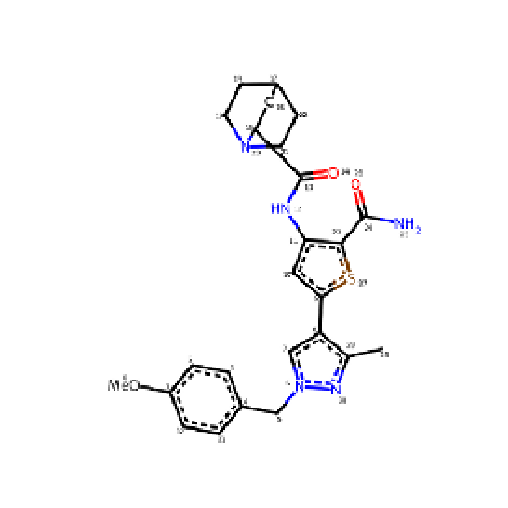 COc1ccc(Cn2cc(-c3cc(NC(=O)C4CC5CCN4CC5)c(C(N)=O)s3)c(C)n2)cc1